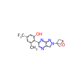 Cc1cc(C(F)(F)F)cc(O)c1-c1cnc2cn(C34COC(C3)C4)nc2n1